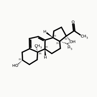 CC(=O)[C@]1(O)CC[C@H]2C3=CC=C4C[C@@H](O)CC[C@]4(C)[C@H]3CC[C@@]21C